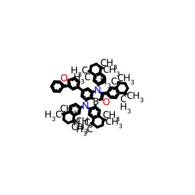 CC1(C)CCC(C)(C)c2cc(N3c4cc5c(cc4B4c6oc7cc8c(cc7c6N(c6ccc7c(c6)C(C)(C)CCC7(C)C)c6cc(-c7ccc9oc%10ccccc%10c9c7)cc3c64)C(C)(C)CCC8(C)C)C(C)(C)CCC5(C)C)ccc21